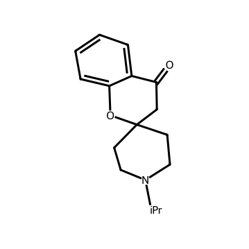 CC(C)N1CCC2(CC1)CC(=O)c1ccccc1O2